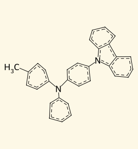 Cc1ccc(N(c2ccccc2)c2ccc(-n3c4ccccc4c4ccccc43)cc2)cc1